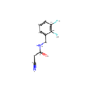 N#CCC(=O)NCc1cccc(F)c1F